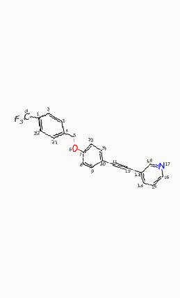 FC(F)(F)c1ccc(COc2ccc(C#Cc3cccnc3)cc2)cc1